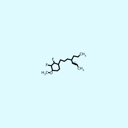 C/C=C/C(CCC)CCCC1CCC(OC)C(F)C1F